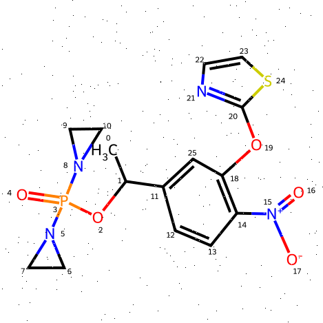 CC(OP(=O)(N1CC1)N1CC1)c1ccc([N+](=O)[O-])c(Oc2nccs2)c1